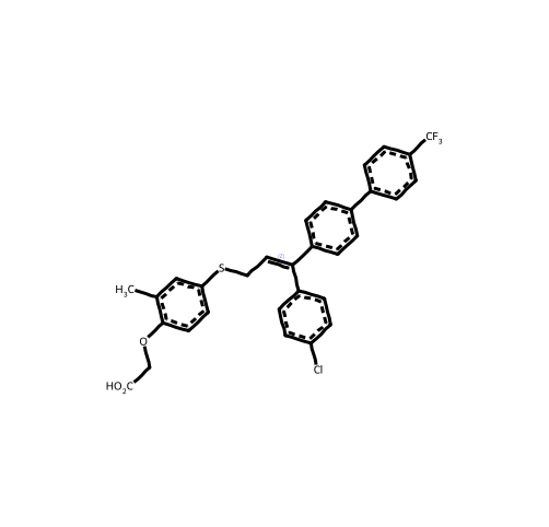 Cc1cc(SC/C=C(\c2ccc(Cl)cc2)c2ccc(-c3ccc(C(F)(F)F)cc3)cc2)ccc1OCC(=O)O